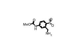 COC(=O)Nc1ccc([SH](=O)=O)c(CN)c1